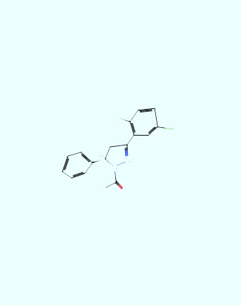 CC(=O)N1N=C(c2cc(F)ccc2F)[C@@H](C)[C@@H]1c1ccccc1